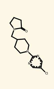 O=C1CCCN1CC1CCN(c2ncc(Cl)cn2)CC1